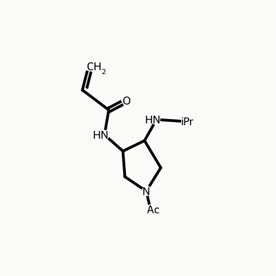 C=CC(=O)NC1CN(C(C)=O)CC1NC(C)C